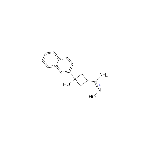 N/C(=N/O)C1CC(O)(c2ccc3ccccc3c2)C1